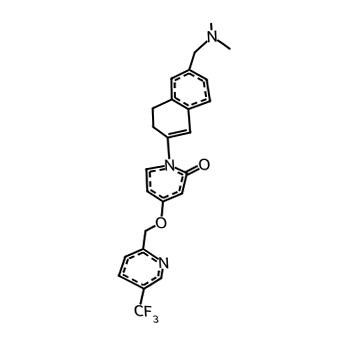 CN(C)Cc1ccc2c(c1)CCC(n1ccc(OCc3ccc(C(F)(F)F)cn3)cc1=O)=C2